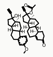 C#CC1(O)CC[C@H]2[C@@H]3CCc4cc(OC)ccc4[C@H]3CC[C@@]21C.C#CC1(OC(C)=O)CC[C@H]2[C@@H]3CCC4=CC(=O)CC[C@@H]4[C@H]3CC[C@@]21C